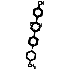 C[C@H]1CC[C@H](c2ccc(-c3cnc(-c4ccc(C#N)cc4)nc3)cc2)CC1